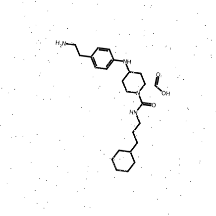 NCCc1ccc(NC2CCN(C(=O)NCCCC3CCCCC3)CC2)cc1.O=CO